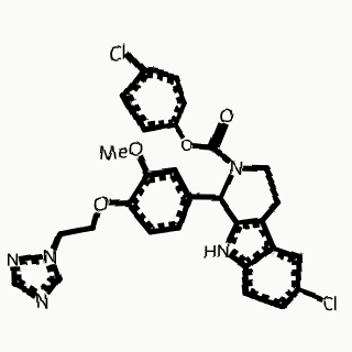 COc1cc(C2c3[nH]c4ccc(Cl)cc4c3CCN2C(=O)Oc2ccc(Cl)cc2)ccc1OCCn1cncn1